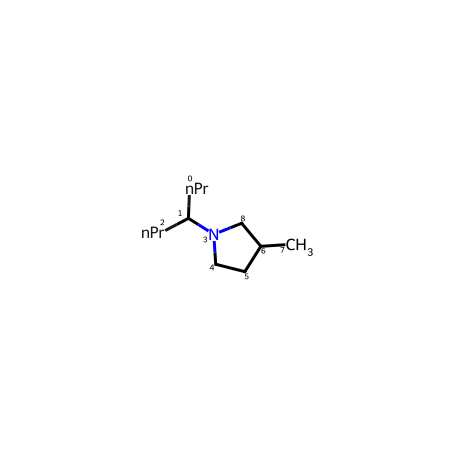 CCCC(CCC)N1CCC(C)C1